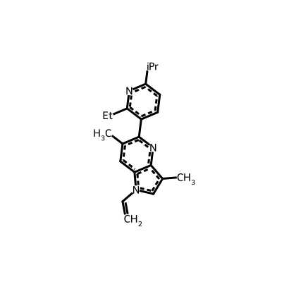 C=Cn1cc(C)c2nc(-c3ccc(C(C)C)nc3CC)c(C)cc21